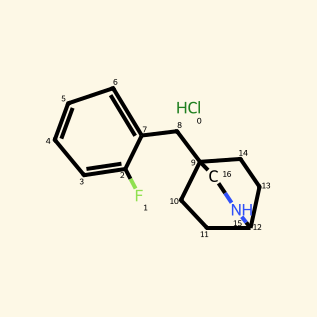 Cl.Fc1ccccc1CC12CCC(CC1)NC2